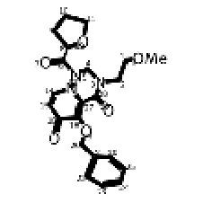 COCCN1CN(C(=O)[C@H]2CCCO2)n2ccc(=O)c(OCc3ccccc3)c2C1=O